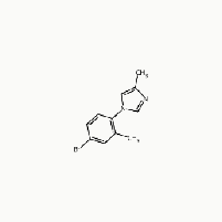 Cc1cn(-c2ccc(Br)cc2C)cn1